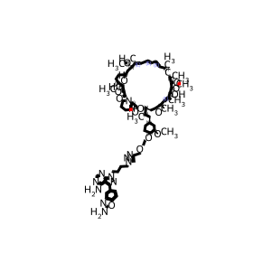 CO[C@H]1C[C@@H]2CC[C@@H](C)[C@@](O)(O2)C(=O)C(=O)N2CCCC[C@H]2C(=O)O[C@H]([C@H](C)C[C@@H]2CC[C@@H](OCCOCc3cn(CCCCn4nc(-c5ccc6oc(N)nc6c5)c5c(N)ncnc54)nn3)[C@H](OC)C2)CC(=O)[C@H](C)/C=C(\C)[C@@H](O)[C@@H](OC)C(=O)[C@H](C)C[C@H](C)/C=C/C=C/C=C/1C